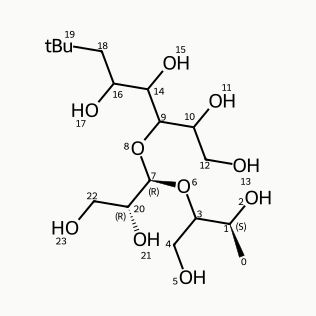 C[C@H](O)C(CO)O[C@H](OC(C(O)CO)C(O)C(O)CC(C)(C)C)[C@H](O)CO